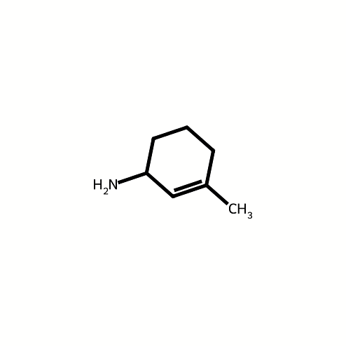 CC1=CC(N)CCC1